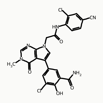 Cn1cnc2c(c(-c3cc(Cl)c(O)c(C(N)=O)c3)cn2CC(=O)Nc2ccc(C#N)cc2Cl)c1=O